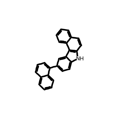 c1ccc2c(-c3ccc4[nH]c5ccc6ccccc6c5c4c3)cccc2c1